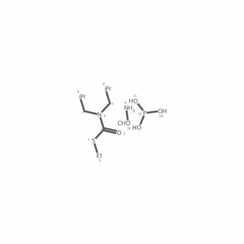 CCSC(=O)N(CC(C)C)CC(C)C.NC=O.OP(O)O